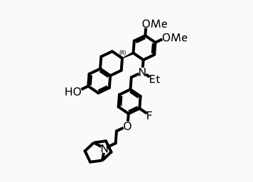 CCN(Cc1ccc(OCCN2C3CCC2CC3)c(F)c1)C1C=C(OC)C(OC)=CC1[C@@H]1CCc2cc(O)ccc2C1